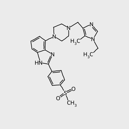 CCn1cnc(CN2CCN(c3cccc4[nH]c(-c5ccc(S(C)(=O)=O)cc5)nc34)CC2)c1C